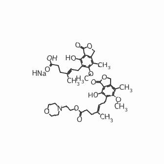 COc1c(C)c2c(c(O)c1C/C=C(\C)CCC(=O)O)C(=O)OC2.COc1c(C)c2c(c(O)c1C/C=C(\C)CCC(=O)OCCN1CCOCC1)C(=O)OC2.[NaH]